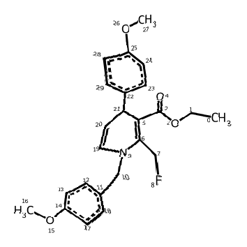 CCOC(=O)C1=C(CF)N(Cc2ccc(OC)cc2)C=CC1c1ccc(OC)cc1